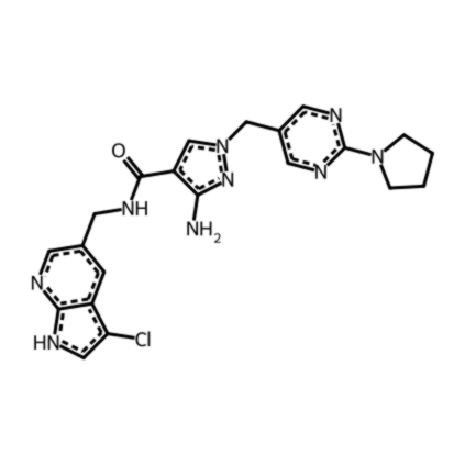 Nc1nn(Cc2cnc(N3CCCC3)nc2)cc1C(=O)NCc1cnc2[nH]cc(Cl)c2c1